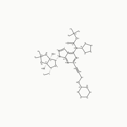 CC[C@H]1O[C@@H](n2ncc3c(N(C(=O)OC(C)(C)C)C4CCCC4)nc(C#CCOC4CCCCO4)nc32)[C@@H]2OC(C)(C)O[C@@H]21